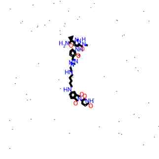 CNC(=O)c1nnc(C2(C(N)=O)CC2)cc1Nc1cccc(-c2ncn(CCNCCCCCNc3ccc4c(c3)C(=O)N(C3CCC(=O)NC3=O)C4=O)n2)c1OC